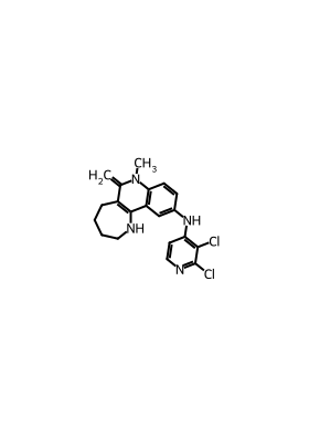 C=C1C2=C(NCCCC2)c2cc(Nc3ccnc(Cl)c3Cl)ccc2N1C